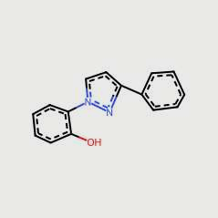 Oc1ccccc1-n1ccc(-c2ccccc2)n1